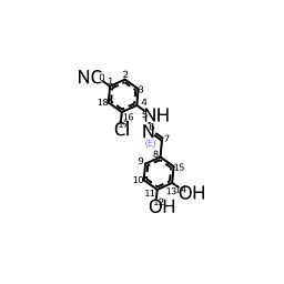 N#Cc1ccc(N/N=C/c2ccc(O)c(O)c2)c(Cl)c1